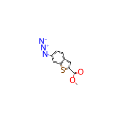 COC(=O)c1cc2ccc(N=[N+]=[N-])cc2s1